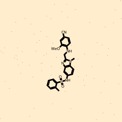 COc1cc(C#N)ccc1NCc1nc2cc(NS(=O)(=O)c3ccccc3C)ccc2n1C